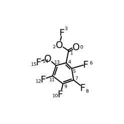 O=C(OF)c1c(F)c(F)c(F)c(F)c1OF